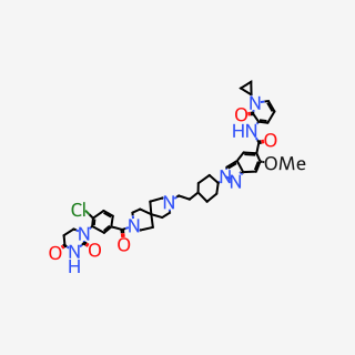 COc1cc2nn(C3CCC(CCN4CCC5(CC4)CCN(C(=O)c4ccc(Cl)c(N6CCC(=O)NC6=O)c4)CC5)CC3)cc2cc1C(=O)Nc1cccn(C2CC2)c1=O